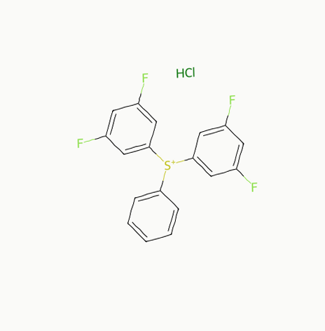 Cl.Fc1cc(F)cc([S+](c2ccccc2)c2cc(F)cc(F)c2)c1